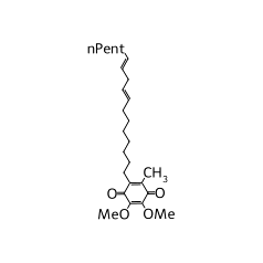 CCCCCC=CCC=CCCCCCCCC1=C(C)C(=O)C(OC)=C(OC)C1=O